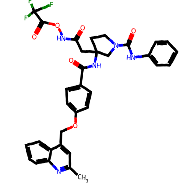 Cc1cc(COc2ccc(C(=O)NC3(CC(=O)NOC(=O)C(F)(F)F)CCN(C(=O)Nc4ccccc4)C3)cc2)c2ccccc2n1